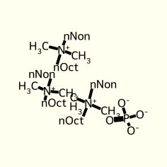 CCCCCCCCC[N+](C)(C)CCCCCCCC.CCCCCCCCC[N+](C)(C)CCCCCCCC.CCCCCCCCC[N+](C)(C)CCCCCCCC.O=P([O-])([O-])[O-]